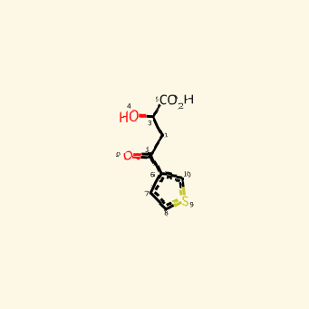 O=C(CC(O)C(=O)O)c1ccsc1